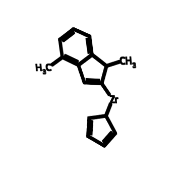 Cc1cccc2c1C=[C]([Zr][CH]1C=CC=C1)C2C